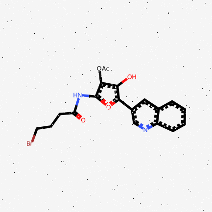 CC(=O)Oc1c(NC(=O)CCCBr)oc(-c2cnc3ccccc3c2)c1O